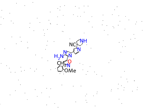 COc1cccc(C)c1-c1cc(-c2nc(-c3ccnc(C4(C#N)CCNCC4)c3)cnc2N)on1